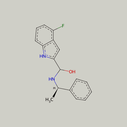 C[C@@H](NC(O)c1cc2c(F)cccc2[nH]1)c1ccccc1